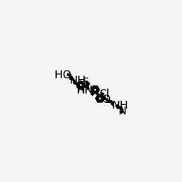 Cc1c(Nc2csc3cc(CNCCO)cnc23)cccc1-c1cccc(OCCCNCCN(C)C)c1Cl